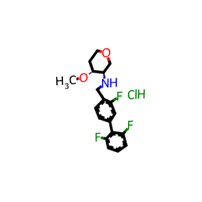 CO[C@@H]1CCOC[C@H]1NCc1ccc(-c2c(F)cccc2F)cc1F.Cl